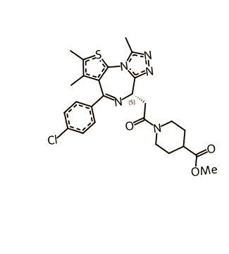 COC(=O)C1CCN(C(=O)C[C@@H]2N=C(c3ccc(Cl)cc3)c3c(sc(C)c3C)-n3c(C)nnc32)CC1